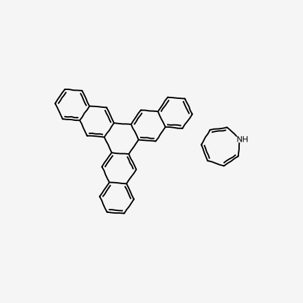 C1=CC=CNC=C1.c1ccc2cc3c(cc2c1)c1cc2ccccc2cc1c1cc2ccccc2cc31